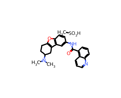 CN(C)C1CCc2oc3ccc(NC(=O)c4cccc5ncccc45)cc3c2C1.CS(=O)(=O)O